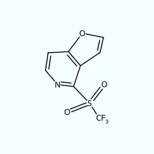 O=S(=O)(c1nccc2occc12)C(F)(F)F